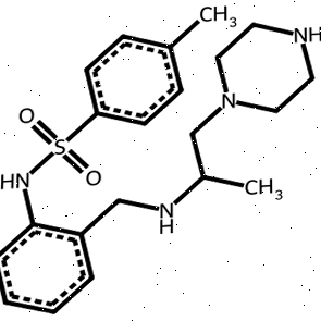 Cc1ccc(S(=O)(=O)Nc2ccccc2CNC(C)CN2CCNCC2)cc1